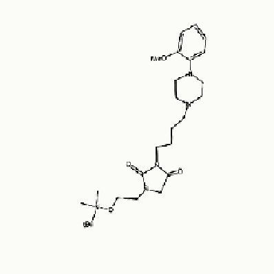 COc1ccccc1N1CCN(CCCCN2C(=O)CN(CCO[Si](C)(C)C(C)(C)C)C2=O)CC1